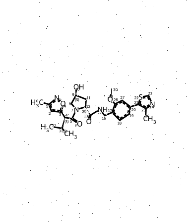 Cc1cc([C@@H](C(=O)N2C[C@@H](O)C[C@@H]2C(=O)NCc2ccc(-c3scnc3C)cc2OI)C(C)C)on1